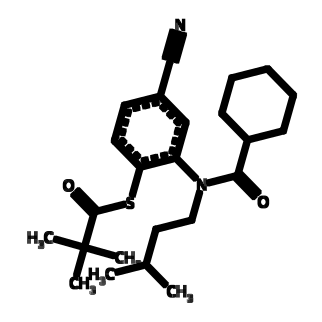 CC(C)CCN(C(=O)C1CCCCC1)c1cc(C#N)ccc1SC(=O)C(C)(C)C